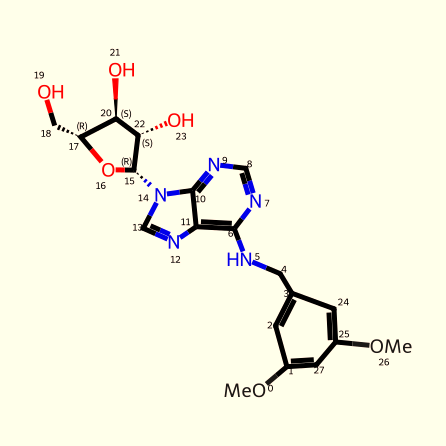 COc1cc(CNc2ncnc3c2ncn3[C@@H]2O[C@H](CO)[C@@H](O)[C@@H]2O)cc(OC)c1